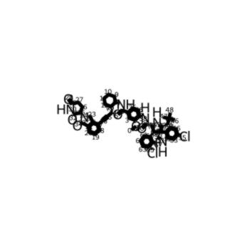 COc1cc(C(=O)N[C@H]2CCCC[C@@H]2CC#Cc2cccc3c2CN(C2CCC(=O)NC2=O)C3=O)ccc1NC(=O)[C@@H]1N[C@@H](CC(C)(C)C)[C@@]2(CNc3cc(Cl)ccc32)[C@H]1c1cccc(Cl)c1F